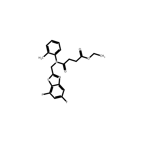 CCOC(=O)CCC(=O)N(Cc1nc2cc(F)cc(F)c2s1)c1ccccc1C